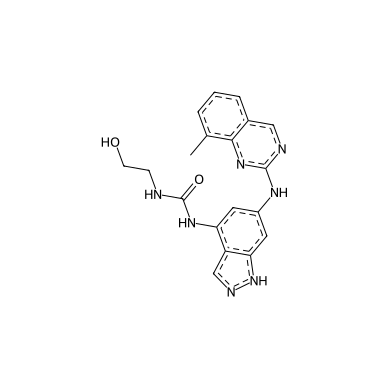 Cc1cccc2cnc(Nc3cc(NC(=O)NCCO)c4cn[nH]c4c3)nc12